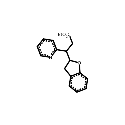 CCOC(=O)CC(c1ccccn1)C1Cc2ccccc2O1